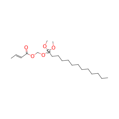 CC=CC(=O)OCO[Si](CCCCCCCCCCCC)(OC)OC